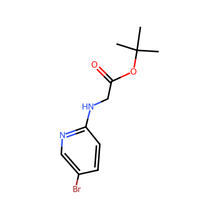 CC(C)(C)OC(=O)CNc1ccc(Br)cn1